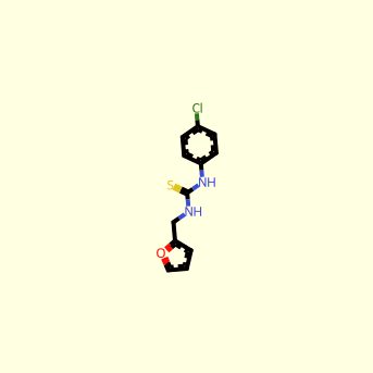 S=C(NCc1ccco1)Nc1ccc(Cl)cc1